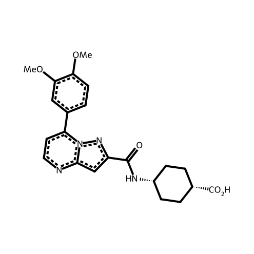 COc1ccc(-c2ccnc3cc(C(=O)N[C@H]4CC[C@@H](C(=O)O)CC4)nn23)cc1OC